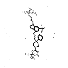 CC(C)(C)OC(=O)N1CCC(COCc2cc(C(F)(F)F)cc3c2ccn3COCC[Si](C)(C)C)(c2ccccc2)CC1